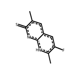 Cc1[nH]c2nc(=S)c(C)cc-2cc1F